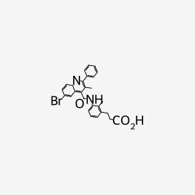 Cc1c(CCC(=O)O)cccc1NC(=O)c1c(C)c(-c2ccccc2)nc2ccc(Br)cc12